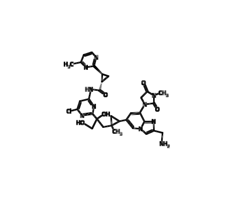 Cc1ccnc([C@H]2C[C@@H]2C(=O)Nc2cc(Cl)nc(C(O)(CO)CC3(C)CC3c3cc(N4CC(=O)N(C)C4=O)c4nc(CN)cn4c3)n2)n1